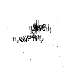 COc1ccc(OC[C@H]2[C@H](c3ccc(NS(=O)(=O)NC(=O)OC(C)(C)C)cc3)C2(C)C)cn1